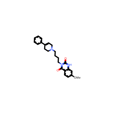 COc1ccc2c(=O)n(CCCCN3CC=C(c4ccccc4)CC3)c(=O)[nH]c2c1